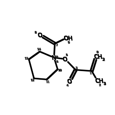 C=C(C)C(=O)O[N+]1(C(=O)O)CCCCC1